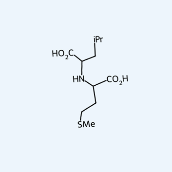 CSCCC(NC(CC(C)C)C(=O)O)C(=O)O